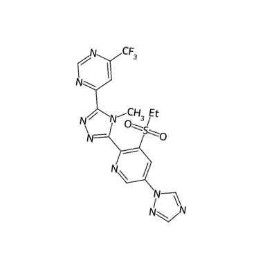 CCS(=O)(=O)c1cc(-n2cncn2)cnc1-c1nnc(-c2cc(C(F)(F)F)ncn2)n1C